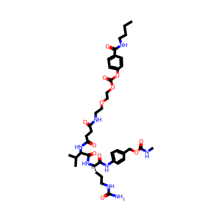 CCCCNC(=O)c1ccc(OC(=O)OCCOCCNC(=O)CCC(=O)NC(C(=O)N[C@@H](CCCNC(N)=O)C(=O)Nc2ccc(COC(=O)NC)cc2)C(C)C)cc1